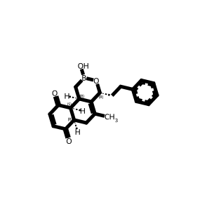 CC1=C2[C@@H](CCc3ccccc3)OB(O)C[C@@H]2[C@@H]2C(=O)C=CC(=O)[C@@H]2C1